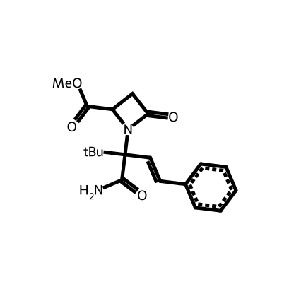 COC(=O)C1CC(=O)N1C(C=Cc1ccccc1)(C(N)=O)C(C)(C)C